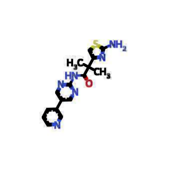 CC(C)(C(=O)Nc1ncc(-c2cccnc2)cn1)c1csc(N)n1